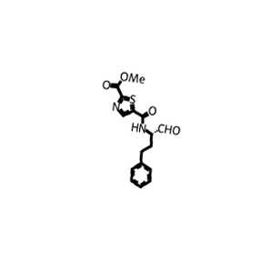 COC(=O)c1ncc(C(=O)N[C@H](C=O)CCc2ccccc2)s1